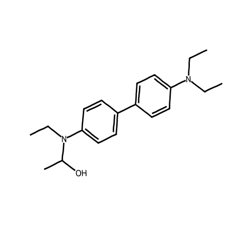 CCN(CC)c1ccc(-c2ccc(N(CC)C(C)O)cc2)cc1